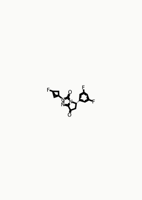 O=C1C[C@@H](c2cc(F)cc(F)c2)n2c1nn(C13CC(F)(C1)C3)c2=O